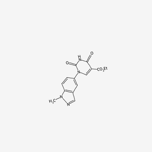 CCOC(=O)c1cn(-c2ccc3c(cnn3C)c2)c(=O)[nH]c1=O